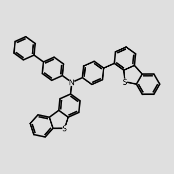 c1ccc(-c2ccc(N(c3ccc(-c4cccc5c4sc4ccccc45)cc3)c3ccc4sc5ccccc5c4c3)cc2)cc1